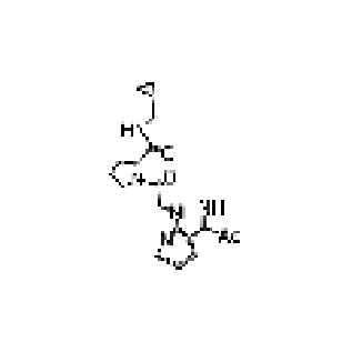 CC(=O)C(=N)c1cccnc1NCC(=O)N1CCC[C@H]1C(=O)NCC1CC1